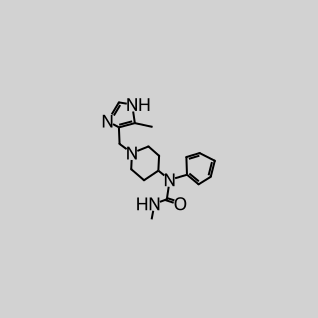 CNC(=O)N(c1ccccc1)C1CCN(Cc2nc[nH]c2C)CC1